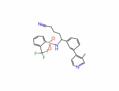 Cc1cnccc1-c1cccc(C(CCCC#N)NS(=O)(=O)c2ccccc2C(F)(F)F)c1